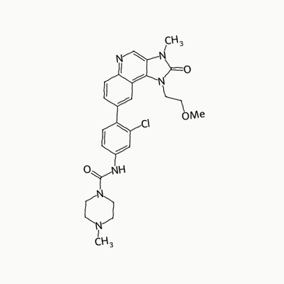 COCCn1c(=O)n(C)c2cnc3ccc(-c4ccc(NC(=O)N5CCN(C)CC5)cc4Cl)cc3c21